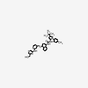 Cc1ccc(-n2nc(C(C)(C)C)cc2NC(=O)Nc2ccc(OCc3ccnc(Nc4cncc(CO)n4)c3)c3ccccc23)cc1